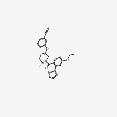 CCOc1ccc(C(=O)N2C[C@H](Oc3cc(C#N)ccn3)CC[C@H]2C)c(-n2nccn2)c1